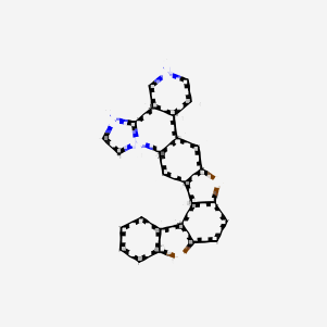 c1ccc2c(c1)sc1ccc3sc4cc5c6ccncc6c6nccn6c5cc4c3c12